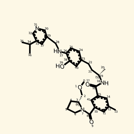 COC[C@H]1CCCN1C(=O)c1cc(C)cc(C(=O)N[C@@H](C)CCc2ccc(NCc3cncc(C(C)C)c3)c(O)c2)c1